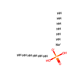 O=P([O-])(O)O.[HH].[HH].[HH].[HH].[HH].[HH].[HH].[HH].[HH].[HH].[HH].[HH].[Na+]